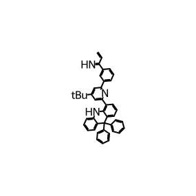 C=CC(=N)c1cccc(-c2cc(C(C)(C)C)cc(-c3cccc4c3Nc3ccccc3C4(c3ccccc3)c3ccccc3)n2)c1